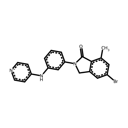 Cc1cc(Br)cc2c1C(=O)N(c1cccc(Nc3ccncc3)c1)C2